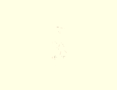 Cc1cc2cnc(NC3CCN(S(C)(=O)=O)CC3)nc2c(NC2CCC[C@@]2(C)O)n1